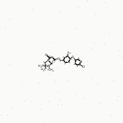 CN1c2cc(OCc3ccc(Oc4ccc(Cl)nc4)c(F)c3)nc(=O)n2CC1(C)C